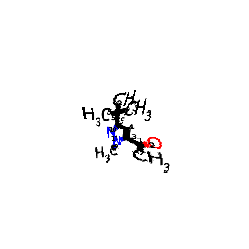 CC(=O)c1cc(C(C)(C)C)nn1C